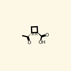 CC(=O)[C@@H]1CC[C@H]1C(=O)O